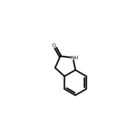 O=C1CC2C=CC=CC2N1